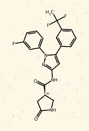 CC(F)(F)c1cccc(-c2cc(NC(=O)[C@H]3CNC(=O)C3)nn2-c2cccc(F)c2)c1